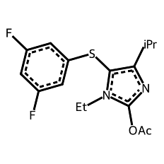 CCn1c(OC(C)=O)nc(C(C)C)c1Sc1cc(F)cc(F)c1